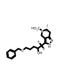 C[C@@H]1Cc2n[nH]c(C(F)(F)C(O)CCCOCc3ccccc3)c2CN1C(=O)O